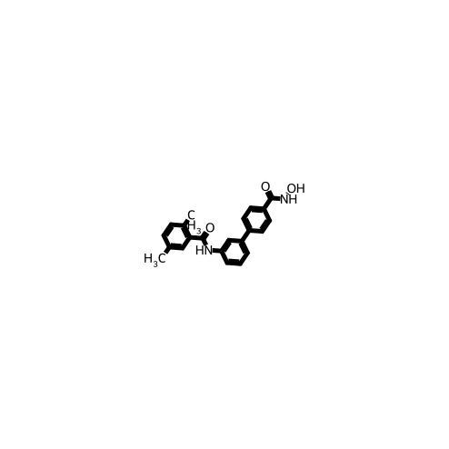 Cc1ccc(C)c(C(=O)Nc2cccc(-c3ccc(C(=O)NO)cc3)c2)c1